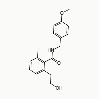 COc1ccc(CNC(=O)c2c(C)cccc2CCO)cc1